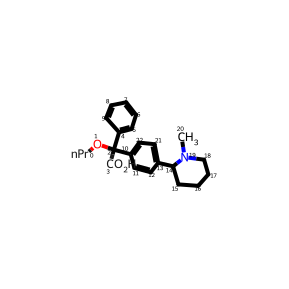 CCCOC(C(=O)O)(c1ccccc1)c1ccc(C2CCCCN2C)cc1